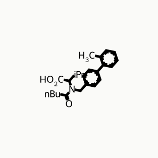 CCCCC(=O)N(Cc1ccc(-c2ccccc2C)cc1)C(C(=O)O)C(C)C